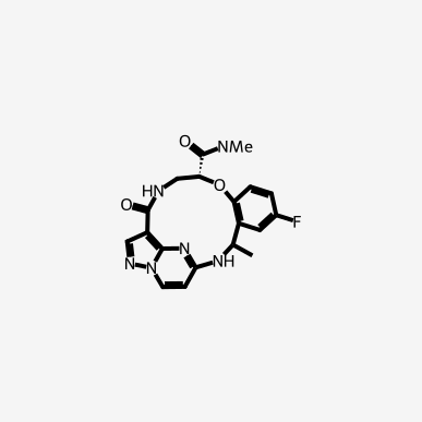 CNC(=O)[C@H]1CNC(=O)c2cnn3ccc(nc23)NC(C)c2cc(F)ccc2O1